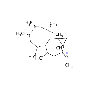 C/C=C1\CC(C)C2C(C)CC(C)N(P)CC(C)(C)C2C2(C)CN12